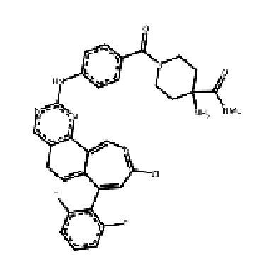 CNC(=O)C1(N)CCN(C(=O)c2ccc(Nc3ncc4c(n3)C3=CN=C(Cl)C=C(c5c(F)cccc5F)C3=CC4)cc2)CC1